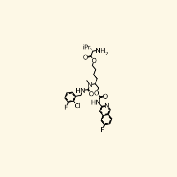 CC(C)[C@H](N)C(=O)OCCCC[C@@H](COC(=O)Nc1cc2cc(F)ccc2cn1)N(C)C(=O)NCc1cccc(F)c1Cl